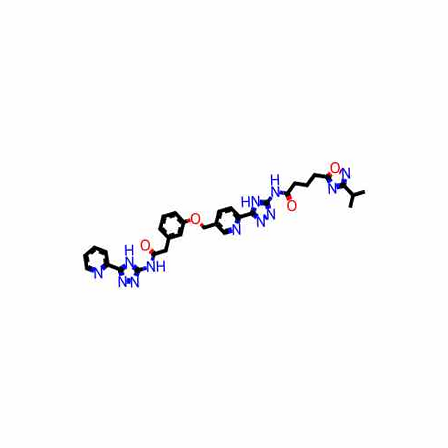 CC(C)c1noc(CCCC(=O)Nc2nnc(-c3ccc(COc4cccc(CC(=O)Nc5nnc(-c6ccccn6)[nH]5)c4)cn3)[nH]2)n1